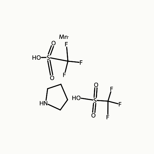 C1CCNC1.O=S(=O)(O)C(F)(F)F.O=S(=O)(O)C(F)(F)F.[Mn]